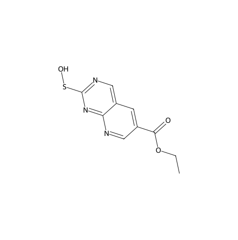 CCOC(=O)c1cnc2nc(SO)ncc2c1